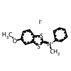 COc1ccc2sc(=[N+](C)c3ccccc3)sc2c1.[I-]